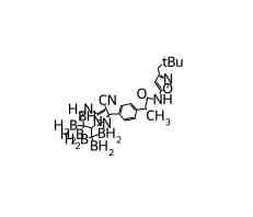 BC(B)(B)C(n1nc(-c2ccc(C(C)C(=O)Nc3cc(CC(C)(C)C)no3)cc2)c(C#N)c1N)C(B)(B)B